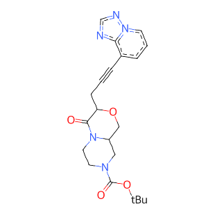 CC(C)(C)OC(=O)N1CCN2C(=O)C(CC#Cc3cccn4ncnc34)OCC2C1